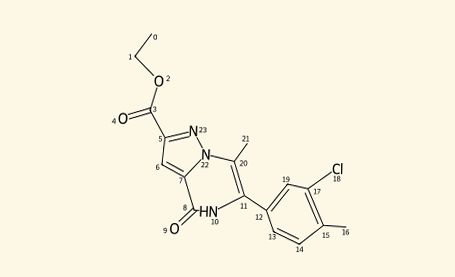 CCOC(=O)c1cc2c(=O)[nH]c(-c3ccc(C)c(Cl)c3)c(C)n2n1